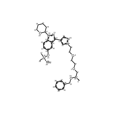 C[C@H](COCCOCCn1cc(-c2nn(C3CCCCO3)c3ccc(O[Si](C)(C)C(C)(C)C)cc23)cn1)OCc1ccccc1